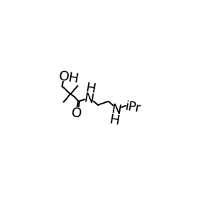 CC(C)NCCNC(=O)C(C)(C)CO